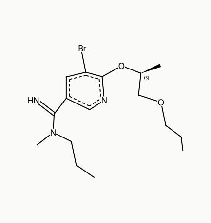 CCCOC[C@H](C)Oc1ncc(C(=N)N(C)CCC)cc1Br